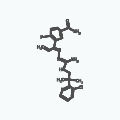 C=C/C(=N\N=C(/N)NCC(C)(C)c1ncccc1Cl)c1cc(C(N)=O)ccc1F